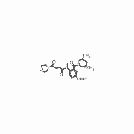 COc1ccc(NC(=O)CCC(=O)N2CCOCC2)c(C(=O)N2C[C@H](C)C[C@H](C)C2)c1